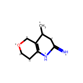 CC1CC(=N)NC2=C1COCC2